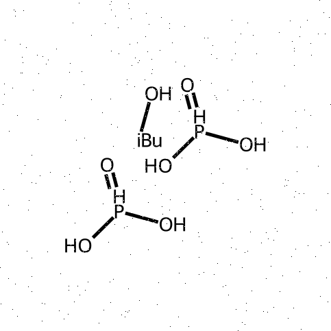 CCC(C)O.O=[PH](O)O.O=[PH](O)O